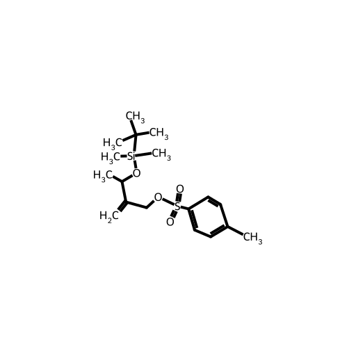 C=C(COS(=O)(=O)c1ccc(C)cc1)C(C)O[Si](C)(C)C(C)(C)C